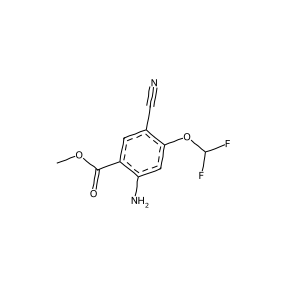 COC(=O)c1cc(C#N)c(OC(F)F)cc1N